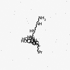 CC(C)CCC[C@@H](C)[C@H]1CC[C@H]2[C@@H]3CC(NCCCNCCCCNCCCN)C4(O)CC(O)(O)CC[C@]4(C)[C@H]3CC[C@]12C